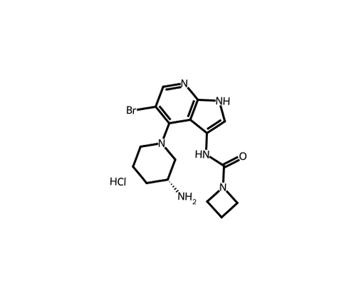 Cl.N[C@@H]1CCCN(c2c(Br)cnc3[nH]cc(NC(=O)N4CCC4)c23)C1